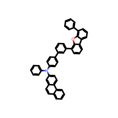 c1ccc(-c2cccc3c2oc2c(-c4cccc(-c5ccc(N(c6ccccc6)c6ccc7c(ccc8ccccc87)c6)cc5)c4)cccc23)cc1